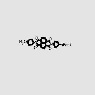 CCCCCC1CCC(N2C(=O)c3ccc4c5c(ccc(c35)C2=O)C(=O)N(C2CCC(C)CC2)C4=O)CC1